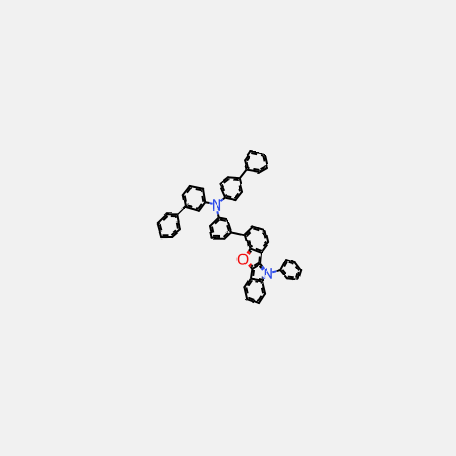 c1ccc(-c2ccc(N(c3cccc(-c4ccccc4)c3)c3cccc(-c4cccc5c4oc4c6ccccc6n(-c6ccccc6)c54)c3)cc2)cc1